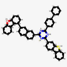 c1ccc(-c2ccc(-c3nc(-c4ccc5ccc(-c6cccc7oc8ccccc8c67)cc5c4)nc(-c4ccc5c(c4)sc4ccccc45)n3)cc2)cc1